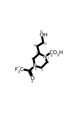 O=C(O)N1CCN(C(=O)C(F)(F)F)CC1CCO